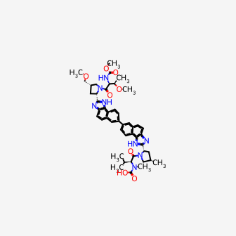 COC[C@H]1C[C@@H](c2nc3ccc4cc(-c5ccc6c(ccc7nc([C@@H]8C[C@H](C)CN8C(=O)[C@H](C(C)C)N(C)C(=O)O)[nH]c76)c5)ccc4c3[nH]2)N(C(=O)[C@@H](NC(=O)OC)[C@@H](C)OC)C1